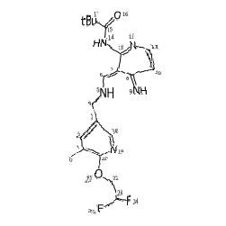 Cc1cc(CN/C=C2\C(=N)C=CN=C2NC(=O)C(C)(C)C)cnc1OCC(F)F